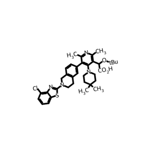 Cc1nc(C)c(C(OC(C)(C)C)C(=O)O)c(N2CCC(C)(C)CC2)c1-c1ccc2c(c1)CCN(c1nc3c(Cl)cccc3s1)C2